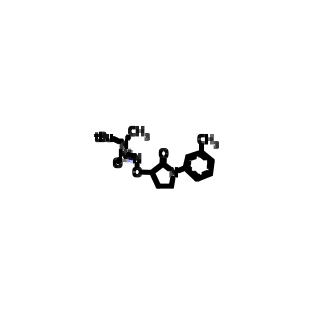 Cc1cccc(N2CCC(O/N=[N+](\[O-])N(C)C(C)(C)C)C2=O)c1